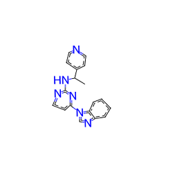 CC(Nc1nccc(-n2cnc3ccccc32)n1)c1ccncc1